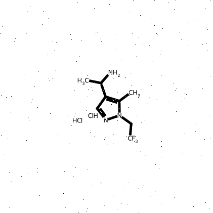 Cc1c(C(C)N)cnn1CC(F)(F)F.Cl.Cl